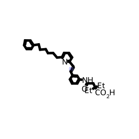 CCC(CC)(CC(=O)Nc1cccc(/C=C/c2cccc(CCCCCCc3ccccc3)n2)c1)C(=O)O